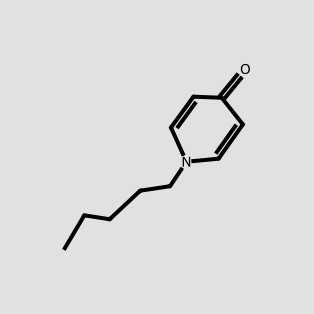 CCCCCn1ccc(=O)cc1